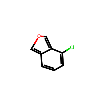 Clc1cccc2co[c]c12